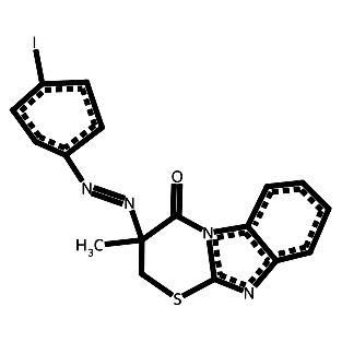 CC1(N=Nc2ccc(I)cc2)CSc2nc3ccccc3n2C1=O